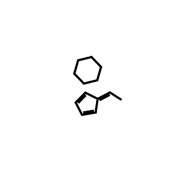 C1CCCCC1.CC=C1C=CC=C1